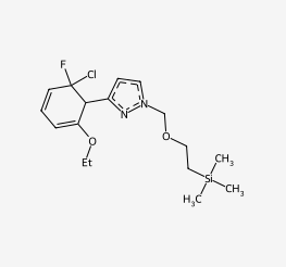 CCOC1=CC=CC(F)(Cl)C1c1ccn(COCC[Si](C)(C)C)n1